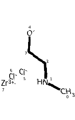 CNCC[O-].[Cl-].[Cl-].[Zr+3]